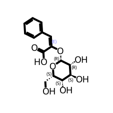 O=C(O)/C(=C\c1ccccc1)O[C@H]1O[C@@H](CO)[C@@H](O)[C@H](O)[C@H]1O